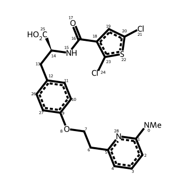 CNc1cccc(CCOc2ccc(C[C@H](NC(=O)c3cc(Cl)sc3Cl)C(=O)O)cc2)n1